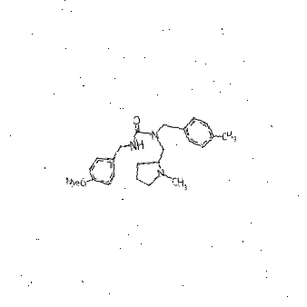 COc1ccc(CNC(=O)N(Cc2ccc(C)cc2)CC2CCCN2C)cc1